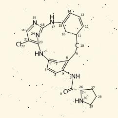 O=C(Nc1ccc2cc1CCC1C=CC=C(C1)Nc1ncc(Cl)c(n1)N2)[C@@H]1CCCN1